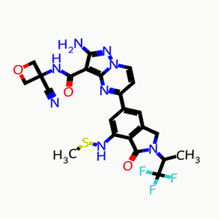 CSNc1cc(-c2ccn3nc(N)c(C(=O)NC4(C#N)COC4)c3n2)cc2c1C(=O)N(C(C)C(F)(F)F)C2